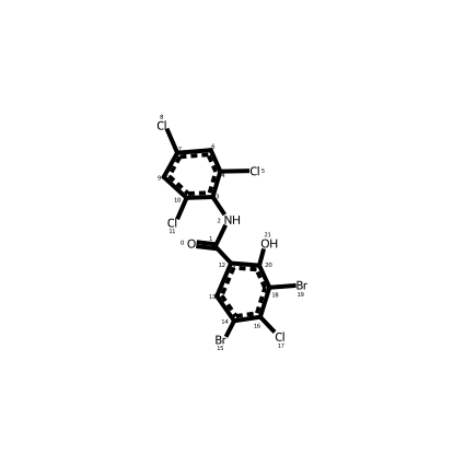 O=C(Nc1c(Cl)cc(Cl)cc1Cl)c1cc(Br)c(Cl)c(Br)c1O